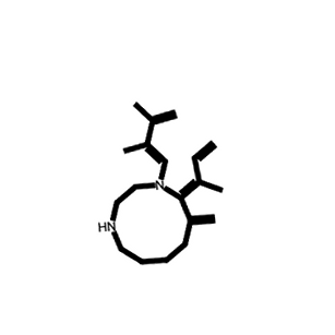 C=C/C(C)=C1/C(=C)CCCCNCCN1/C=C(\C)C(=C)C